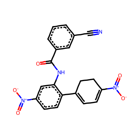 N#Cc1cccc(C(=O)Nc2cc([N+](=O)[O-])ccc2C2=CC=C([N+](=O)[O-])CC2)c1